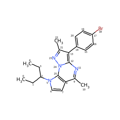 CCC(CC)n1ccc2c(C)nc3c(-c4ccc(Br)cc4)c(C)nn3c21